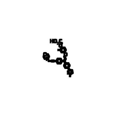 Cc1ccc(-c2ccc(C(=CCOc3ccc(OCC(=O)O)c(C)c3)c3ccc(C#CCN4CCOCC4)cc3)cc2)s1